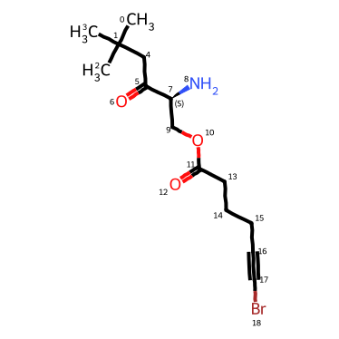 CC(C)(C)CC(=O)[C@@H](N)COC(=O)CCCC#CBr